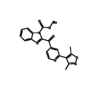 Cc1noc(C)c1-c1cc(C(=O)c2nc3ccccc3n2C(=O)OC(C)(C)C)ccn1